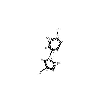 Cc1cnn(-c2ccc(F)nc2)c1